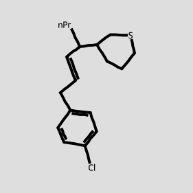 CCC[C](C=CCc1ccc(Cl)cc1)C1CCCSC1